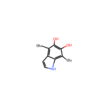 CC(C)(C)c1c(O)c(O)c(C(C)(C)C)c2[nH]ccc12